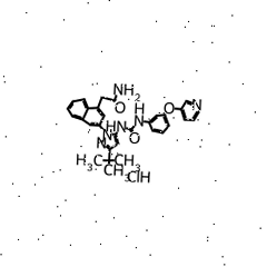 CC(C)(C)c1cc(NC(=O)Nc2cccc(Oc3cccnc3)c2)n(-c2cc(CC(N)=O)c3ccccc3c2)n1.Cl